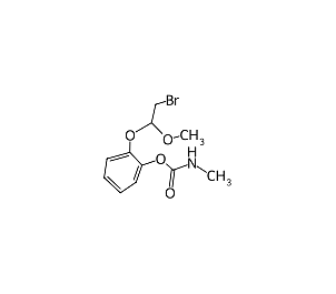 CNC(=O)Oc1ccccc1OC(CBr)OC